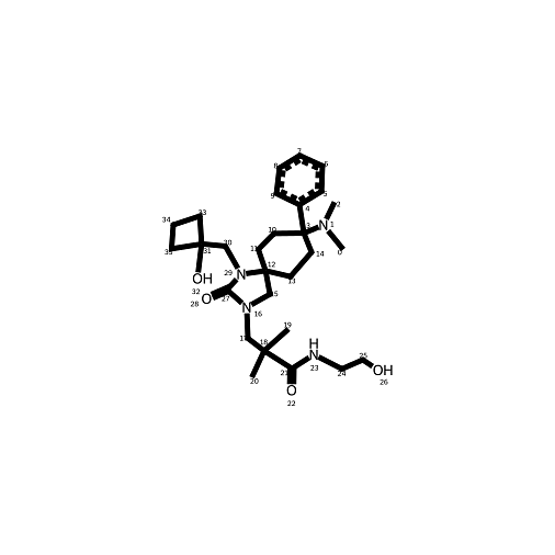 CN(C)C1(c2ccccc2)CCC2(CC1)CN(CC(C)(C)C(=O)NCCO)C(=O)N2CC1(O)CCC1